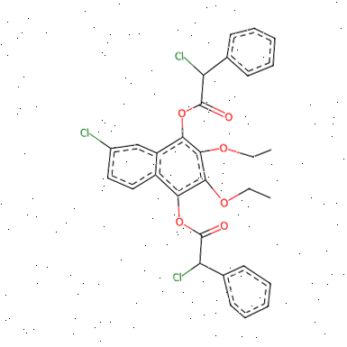 CCOc1c(OCC)c(OC(=O)C(Cl)c2ccccc2)c2cc(Cl)ccc2c1OC(=O)C(Cl)c1ccccc1